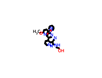 COc1ccc(CN2C3CC2CN(c2ccc(-c4cccn5nc(NCCO)c(C#N)c45)cn2)C3)cn1